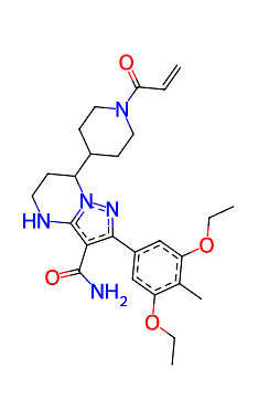 C=CC(=O)N1CCC(C2CCNc3c(C(N)=O)c(-c4cc(OCC)c(C)c(OCC)c4)nn32)CC1